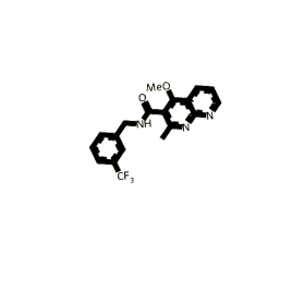 COc1c(C(=O)NCc2cccc(C(F)(F)F)c2)c(C)nc2ncccc12